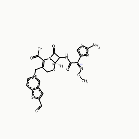 CO/N=C(\C(=O)NC1C(=O)N2C(C(=O)[O-])=C(C[n+]3ccc4sc(C=O)cc4c3)CS[C@H]12)c1csc(N)n1